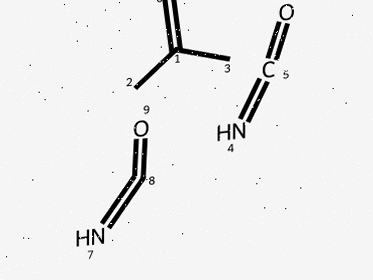 C=C(C)C.N=C=O.N=C=O